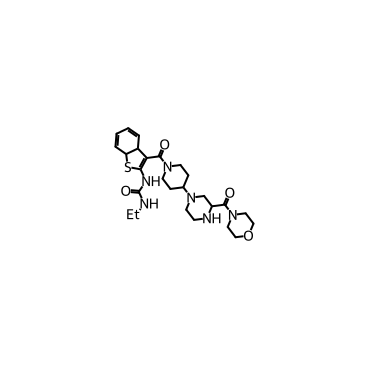 CCNC(=O)NC1=C(C(=O)N2CCC(N3CCNC(C(=O)N4CCOCC4)C3)CC2)C2C=CC=CC2S1